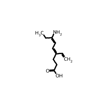 C=C/C(=C\C=C(\N)CC)CCC(=O)O